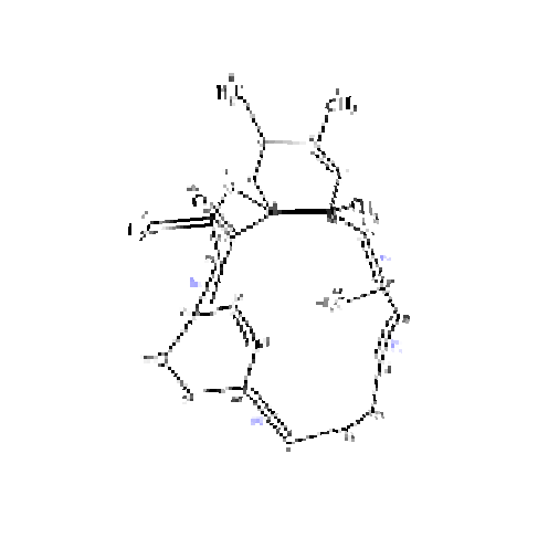 C=C1OC23CC(C)C(C)=CC2(C)/C=C(C)/C=C/CC/C=C2C=C/C(=C\1C3=O)OC/2